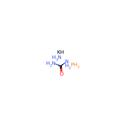 N.NC(N)=O.P.[KH]